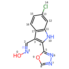 O/N=C/c1c(-c2nnco2)[nH]c2cc(Cl)ccc12